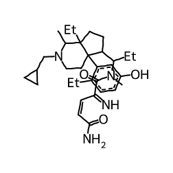 CCc1ccc(O)cc1C12CCN(CC3CC3)C(C)C1(CC)CCC2C(CC)N(C)C(=O)C(=N)/C=C\C(N)=O